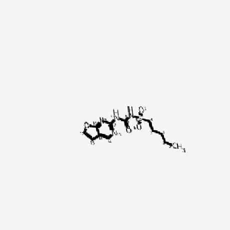 CCCCCS(=O)(=O)NC(=O)Nc1ncc2ccoc2n1